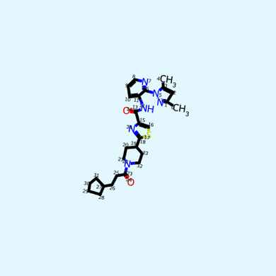 Cc1cc(C)n(-c2ncccc2NC(=O)c2csc(C3CCN(C(=O)CCC4CCCC4)CC3)n2)n1